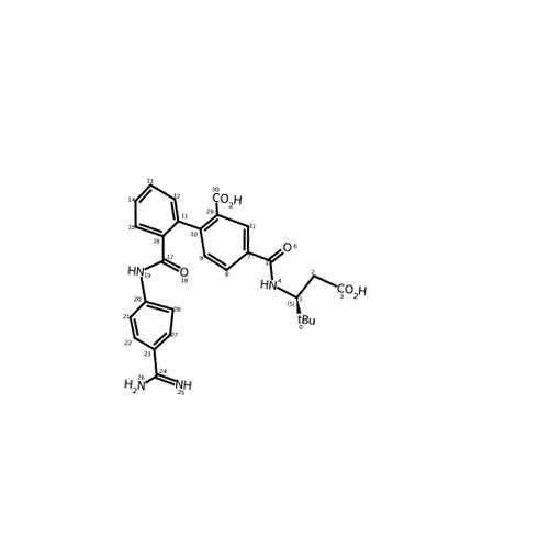 CC(C)(C)[C@H](CC(=O)O)NC(=O)c1ccc(-c2ccccc2C(=O)Nc2ccc(C(=N)N)cc2)c(C(=O)O)c1